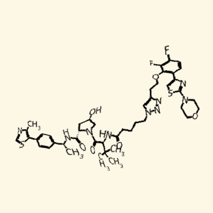 Cc1ncsc1-c1ccc([C@H](C)NC(=O)[C@@H]2C[C@@H](O)CN2C(=O)[C@@H](NC(=O)CCCCn2cc(CCOc3c(-c4csc(N5CCOCC5)n4)ccc(F)c3F)nn2)C(C)(C)C)cc1